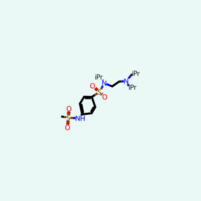 CC(C)N(CCN(C(C)C)S(=O)(=O)c1ccc(NS(C)(=O)=O)cc1)C(C)C